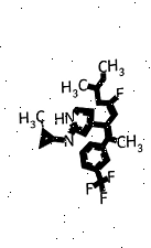 CCC(C)C/C(F)=C\C(=C(/C)c1cccc(C(F)(F)F)c1)c1cc[nH]/c(=N\C2C[C@@H]2C)c1